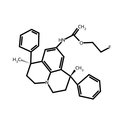 C=C(Nc1cc2c3c(c1)[C@](C)(c1ccccc1)CCN3CC[C@@]2(C)c1ccccc1)OCCF